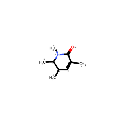 CC1=CC(C)C(C)N(C)C1=O